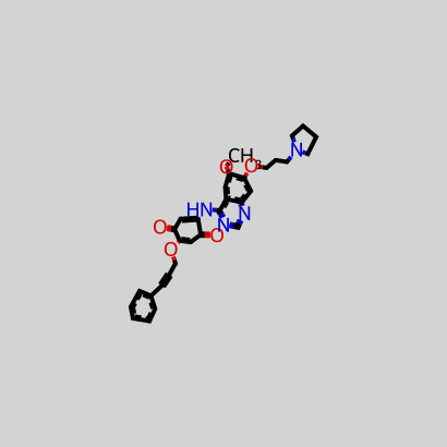 COc1cc2c(NC3=CC(=O)C(OCC#Cc4ccccc4)=CC3=O)ncnc2cc1OCCCN1CCCC1